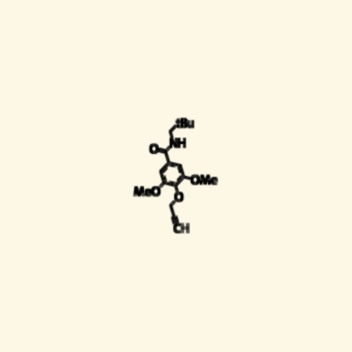 C#CCOc1c(OC)cc(C(=O)NCC(C)(C)C)cc1OC